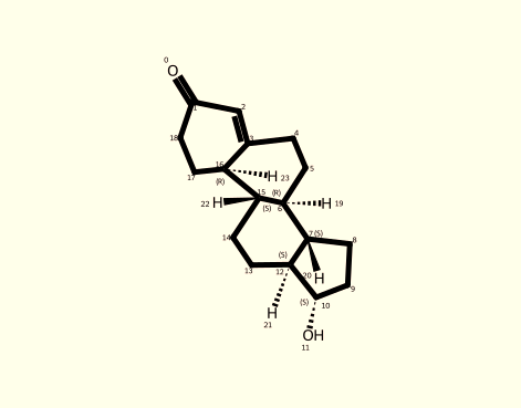 O=C1C=C2CC[C@H]3[C@@H]4CC[C@H](O)[C@H]4CC[C@@H]3[C@H]2CC1